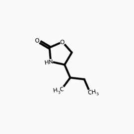 CCC(C)C1COC(=O)N1